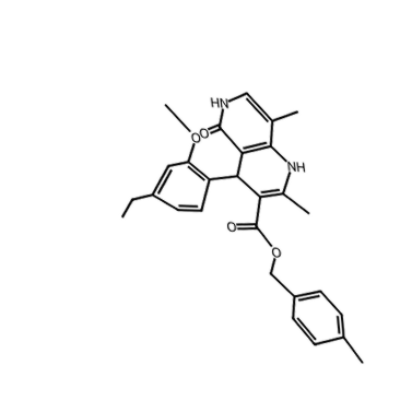 CCc1ccc(C2C(C(=O)OCc3ccc(C)cc3)=C(C)Nc3c(C)c[nH]c(=O)c32)c(OC)c1